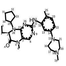 CC[C@@H]1C(=O)N(C)c2cnc(Nc3cc(N4CCN(C)CC4)ccc3C)nc2N1C1CCCC1